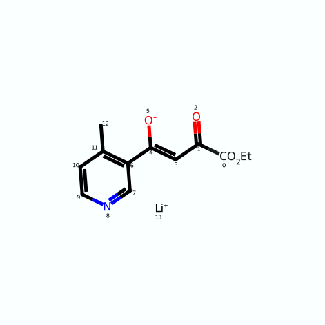 CCOC(=O)C(=O)C=C([O-])c1cnccc1C.[Li+]